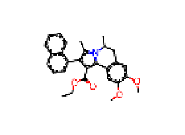 CCOC(=O)c1c(-c2cccc3ccccc23)c(C)n2c1-c1cc(OC)c(OC)cc1CC2C